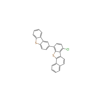 Clc1ccc(-c2ccc3sc4ccccc4c3c2)c2sc3c4ccccc4ccc3c12